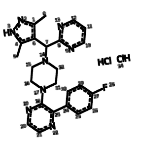 Cc1n[nH]c(C)c1C(c1ncccn1)N1CCN(c2nccnc2-c2ccc(F)cc2)CC1.Cl.Cl